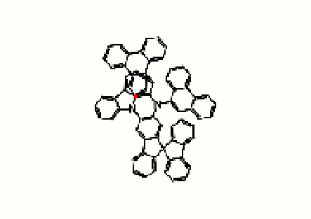 c1ccc2c(c1)-c1ccccc1C21c2ccccc2-c2cc(-n3c4ccccc4c4ccccc43)c(N(c3ccc4c5ccccc5c5ccccc5c4c3)c3cc4ccccc4c4ccccc34)cc21